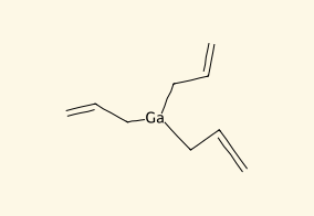 C=C[CH2][Ga]([CH2]C=C)[CH2]C=C